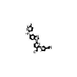 Cc1ccc(Nc2ccc3c(c2)ncn3-c2ccc(C=O)c(N3CC(C#N)C[C@@H]3C)n2)nn1